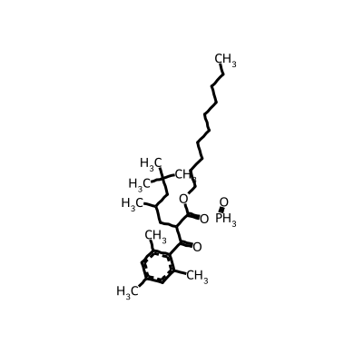 CCCCCCCCCCOC(=O)C(CC(C)CC(C)(C)C)C(=O)c1c(C)cc(C)cc1C.O=[PH3]